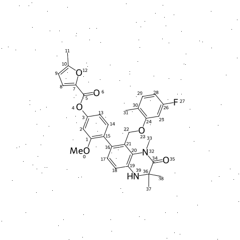 COc1cc(OC(=O)c2ccc(C)o2)ccc1-c1ccc2c(c1COc1cc(F)ccc1C)N(C)C(=O)C(C)(C)N2